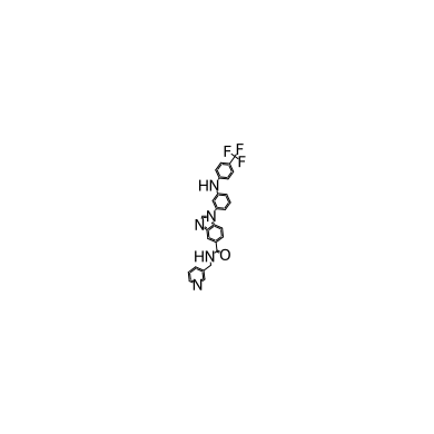 O=C(NCc1cccnc1)c1ccc2c(c1)ncn2-c1cccc(Nc2ccc(C(F)(F)F)cc2)c1